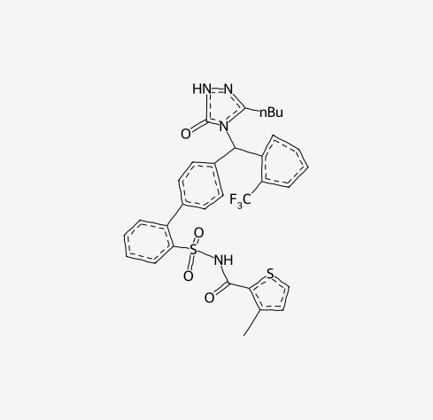 CCCCc1n[nH]c(=O)n1C(c1ccc(-c2ccccc2S(=O)(=O)NC(=O)c2sccc2C)cc1)c1ccccc1C(F)(F)F